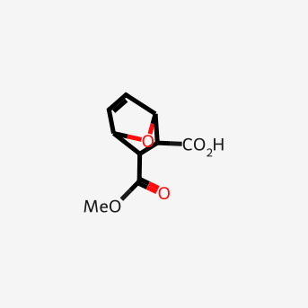 COC(=O)C1C2C=CC(O2)C1C(=O)O